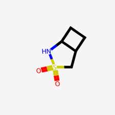 O=S1(=O)CC2CCC2N1